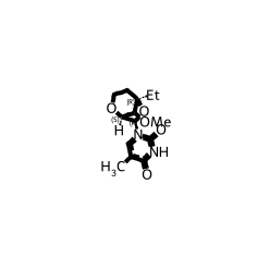 CC[C@@]12CCO[C@@H](C1OC)[C@H](n1cc(C)c(=O)[nH]c1=O)O2